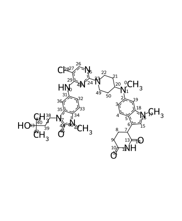 CN(c1ccc2c(C3CCC(=O)NC3=O)cn(C)c2c1)C1CCN(c2ncc(Cl)c(Nc3ccc4c(c3)n(CCC(C)(C)O)c(=O)n4C)n2)CC1